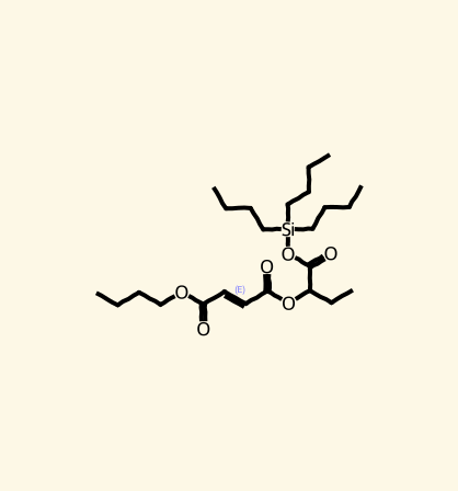 CCCCOC(=O)/C=C/C(=O)OC(CC)C(=O)O[Si](CCCC)(CCCC)CCCC